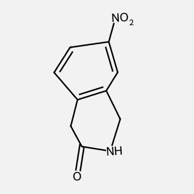 O=C1Cc2ccc([N+](=O)[O-])cc2CN1